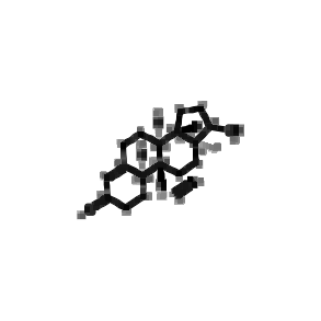 C[C@]12CC[C@H]3[C@@H](CCC4=CC(=O)CC[C@@H]43)[C@@H]1CCC2O.[C]#N